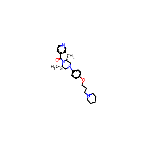 C[C@@H]1CN(c2ccc(OCCCN3CCCCC3)cc2)C[C@H](C)N1C(=O)c1ccncc1